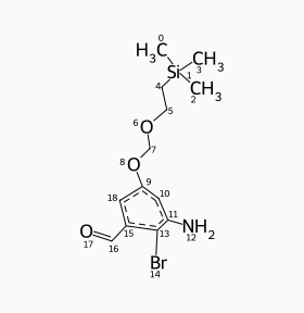 C[Si](C)(C)CCOCOc1cc(N)c(Br)c(C=O)c1